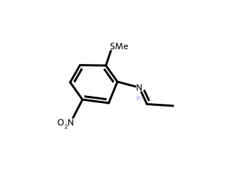 C/C=N/c1cc([N+](=O)[O-])ccc1SC